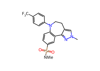 CNS(=O)(=O)c1ccc2c(c1)-c1nn(C)cc1CCN2c1ccc(C(F)(F)F)cc1